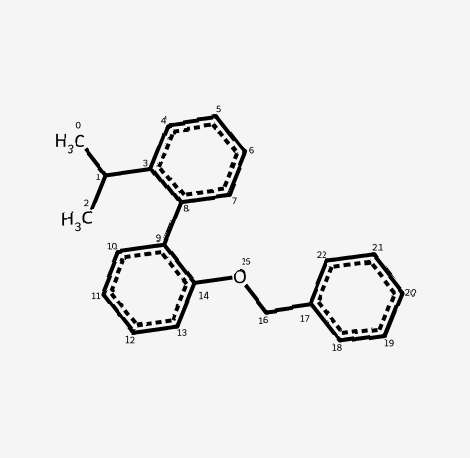 CC(C)c1ccccc1-c1ccccc1OCc1ccccc1